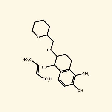 Nc1c(O)ccc2c1CCC(NCC1CCCCO1)C2O.O=C(O)/C=C/C(=O)O